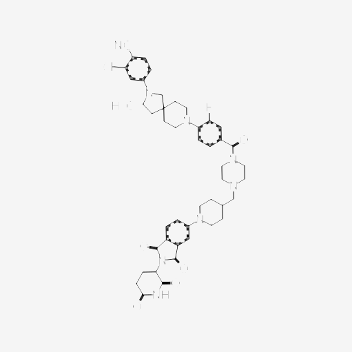 C[C@H]1CC2(CCN(c3ccc(C(=O)N4CCN(CC5CCN(c6ccc7c(c6)C(=O)N(C6CCC(=O)NC6=O)C7=O)CC5)CC4)cc3F)CC2)CN1c1ccc(C#N)c(Cl)c1